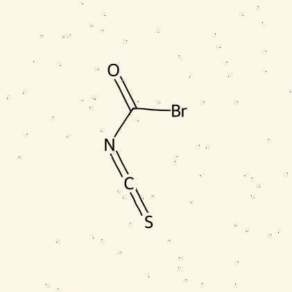 O=C(Br)N=C=S